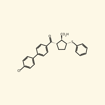 O=C(O)[C@@H]1[C@@H](C(=O)c2ccc(-c3ccc(Cl)cc3)cc2)CC[C@H]1Sc1ccccc1